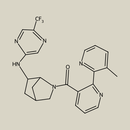 Cc1cccnc1-c1ncccc1C(=O)N1CC2CC(Nc3cnc(C(F)(F)F)cn3)C1C2